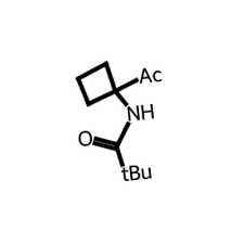 CC(=O)C1(NC(=O)C(C)(C)C)CCC1